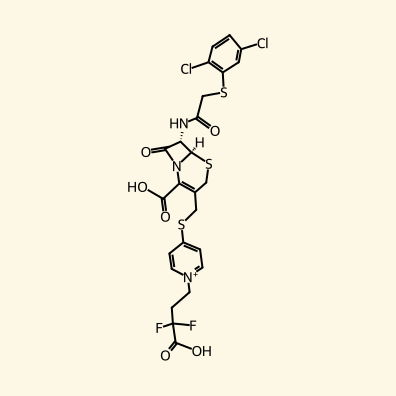 O=C(CSc1cc(Cl)ccc1Cl)N[C@H]1C(=O)N2C(C(=O)O)=C(CSc3cc[n+](CCC(F)(F)C(=O)O)cc3)CS[C@H]12